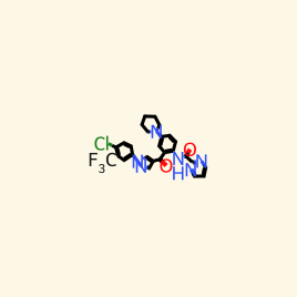 O=C(Nc1ccc(N2CCCCC2)cc1C(=O)c1cnn(-c2ccc(Cl)c(C(F)(F)F)c2)c1)c1ncccn1